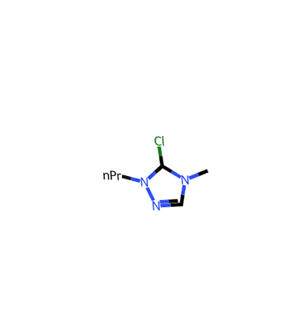 CCCN1N=CN(C)C1Cl